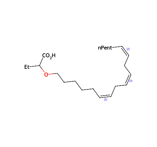 CCCCC/C=C\C/C=C\C/C=C\CCCCCOC(CC)C(=O)O